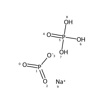 O=P(=O)[O-].O=P(O)(O)O.[Na+]